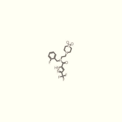 O=C(c1cc(C(F)(F)F)n[nH]1)N(CCN1CCS(=O)(=O)CC1)Cc1ccccc1F